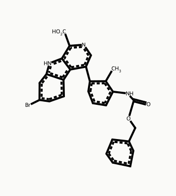 Cc1c(NC(=O)OCc2ccccc2)cccc1-c1cnc(C(=O)O)c2[nH]c3cc(Br)ccc3c12